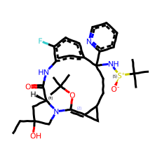 CCC1(O)C[C@@H]2C(=O)Nc3cc(ccc3F)C(N[S@+]([O-])C(C)(C)C)(c3ccccn3)CCC3C/C3=C(/OC(C)(C)C)N2C1